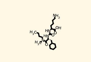 CCCCN(C)C(=O)[C@@H](CC1CCCCC1)NC(=O)NC(CCCCN)C(=O)O